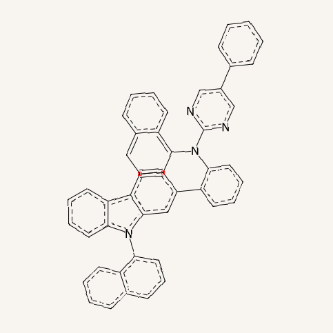 c1c(-c2ccccc2N(C2=c3ccccc3=CCC2)c2ncc(-c3ccccc3)cn2)cc2c(c#1)c1ccccc1n2-c1cccc2ccccc12